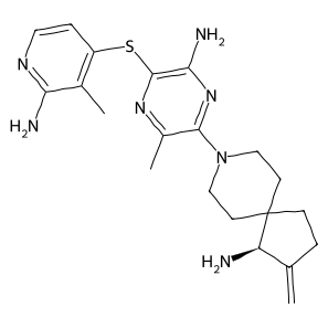 C=C1CCC2(CCN(c3nc(N)c(Sc4ccnc(N)c4C)nc3C)CC2)[C@@H]1N